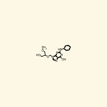 OCC(COP)OCn1cnc2c(O)nc(Nc3ccccc3)nc21